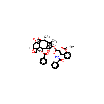 CCCCCCC(=O)O[C@@H](C(=O)O[C@H]1C[C@@]2(O)[C@@H](OC(=O)c3ccccc3)C3[C@](C)(C(=O)[C@H](OC(C)=O)C(=C1C)C2(C)C)[C@@H](O)C[C@H]1OC[C@@]31OC(C)=O)[C@@H](NC(=O)c1ccccc1)c1ccccc1